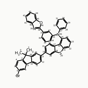 CC1(C)c2ccc(Br)cc2-c2ccc(-c3ccc4c(c3)sc3cccc(N(c5ccccc5)c5cccc(-c6nc7ccccc7o6)c5)c34)cc21